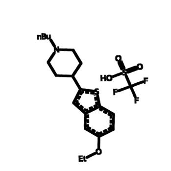 CCCCN1CCC(c2cc3cc(OCC)ccc3s2)CC1.O=S(=O)(O)C(F)(F)F